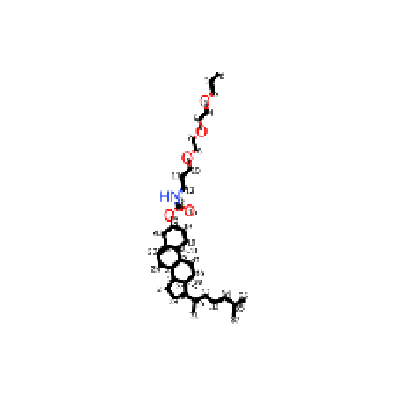 CCCOCCOCCOCCCNC(=O)O[C@@H]1CC[C@]2(C)C(=CCC3C4CCC(C(C)CCCC(C)C)[C@]4(C)CCC32)C1